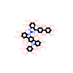 Bc1c(B)c(B)c(-c2c(B)c(B)c(-c3nc(-n4c5c(B)c(B)c(B)c(B)c5c5c(B)c6c(c(B)c54)c4c(B)c(B)c(B)c(B)c4n6-c4c(B)c(B)c(B)c(B)c4B)nc4c(B)c(B)c(B)c(B)c34)c(B)c2B)c(B)c1B